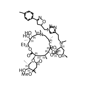 CC[C@H]1OC(=O)[C@H](C)[C@@H](O[C@H]2C[C@@](C)(OC)[C@@H](O)[C@H](C)O2)[C@H](C)[C@@H](O[C@@H]2O[C@H](C)C[C@H](N(C)CCc3cn(CC4CC(c5ccc(C)cc5)=NO4)nn3)[C@H]2O)[C@](C)(O)C[C@@H](C)CN(C)[C@H](C)[C@@H](O)[C@]1(C)O